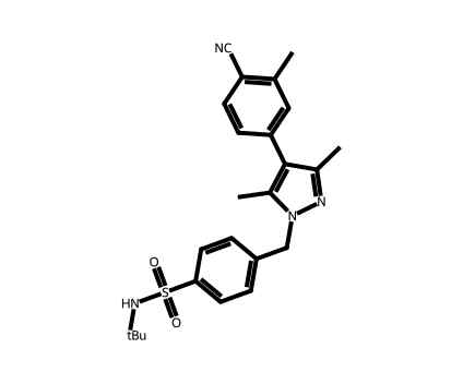 Cc1cc(-c2c(C)nn(Cc3ccc(S(=O)(=O)NC(C)(C)C)cc3)c2C)ccc1C#N